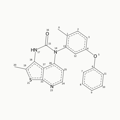 Cc1ccc(Oc2ccccc2)cc1N1C(=O)Nc2c(C)sc3nccc1c23